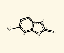 Cc1ccc2oc(=O)oc2c1